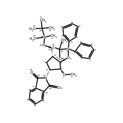 CO[C@@H]1C(O[Si](c2ccccc2)(c2ccccc2)C(C)(C)C)[C@@H](CO[Si](C)(C)C(C)(C)C)C[C@H]1N1C(=O)c2ccccc2C1=O